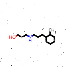 CC1CCCCC1CCCNCCCO